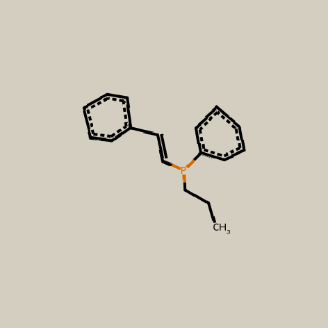 CCCP(/C=C/c1ccccc1)c1ccccc1